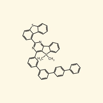 C[Si]1(C)c2ccccc2-c2nc(-c3cccc4sc5ccccc5c34)nc(-c3cccc(-c4cccc(-c5ccc(-c6ccccc6)cc5)c4)c3)c21